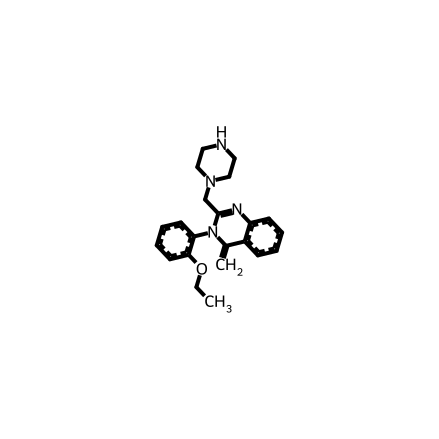 C=C1c2ccccc2N=C(CN2CCNCC2)N1c1ccccc1OCC